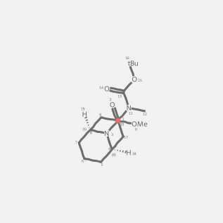 COC(=O)N1[C@@H]2CCC[C@H]1CC(N(C)C(=O)OC(C)(C)C)C2